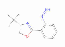 CC(C)(C)[C@H]1COC(c2ccccc2N=N)=N1